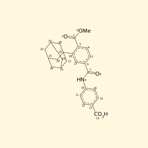 COC(=O)c1ccc(C(=O)Nc2ccc(C(=O)O)cc2)cc1C12CC3CC(CC(C3)C1)C2